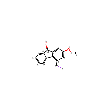 COc1cc(CI)c2c(c1)C(=O)c1ccccc1-2